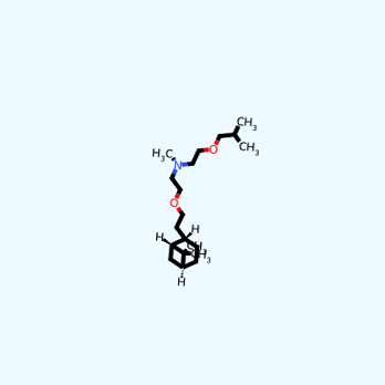 CC(C)COCCN(C)CCOCC[C@@H]1CC[C@H]2C[C@H]1C2(C)C